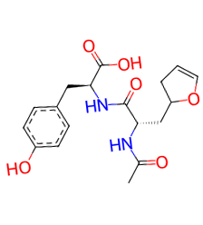 CC(=O)N[C@@H](CC1CC=CO1)C(=O)N[C@@H](Cc1ccc(O)cc1)C(=O)O